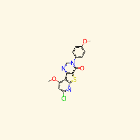 COc1ccc(-n2cnc3c(sc4nc(Cl)cc(OC)c43)c2=O)cc1